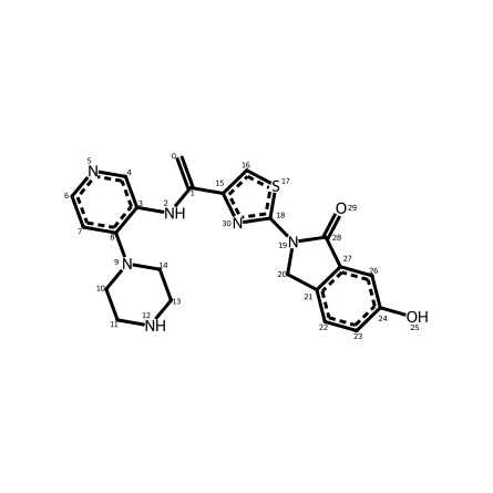 C=C(Nc1cnccc1N1CCNCC1)c1csc(N2Cc3ccc(O)cc3C2=O)n1